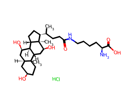 CC(CCC(=O)NCCCC[C@H](N)C(=O)O)[C@H]1CC[C@H]2[C@@H]3[C@H](O)C[C@@H]4C[C@H](O)CC[C@]4(C)[C@H]3C[C@H](O)[C@]12C.Cl